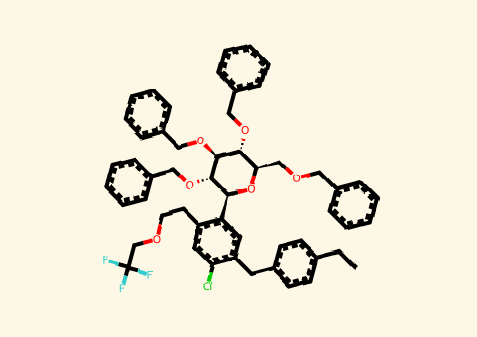 CCc1ccc(Cc2cc([C@@H]3O[C@H](COCc4ccccc4)[C@@H](OCc4ccccc4)[C@H](OCc4ccccc4)[C@H]3OCc3ccccc3)c(CCOCC(F)(F)F)cc2Cl)cc1